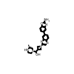 C[C@H]1CN(C(O)C2CN(c3cnc4ccc(-c5ccc6oc(N)nc6c5)cc4n3)C2)CCN1